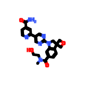 CN(CCO)C(=O)c1ccc2c(c1)N(c1ncc(-c3cc(C(N)=O)ccn3)cn1)CC21COC1